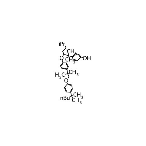 CCCCC(C)(C)c1ccc(OCC(C)(C)c2ccc(OC(CCC(C)C)C(C)(C)c3ccc(O)cc3)cc2)cc1